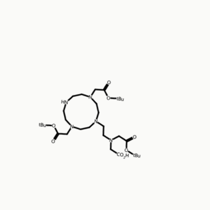 CC(C)(C)OC(=O)CN1CCNCCN(CC(=O)OC(C)(C)C)CCN(CCN(CC(=O)O)CC(=O)OC(C)(C)C)CC1